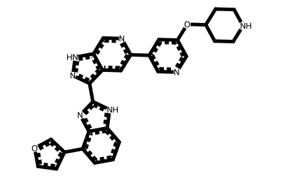 c1cc(-c2ccoc2)c2nc(-c3n[nH]c4cnc(-c5cncc(OC6CCNCC6)c5)cc34)[nH]c2c1